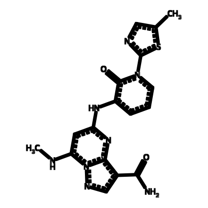 CNc1cc(Nc2cccn(-c3ncc(C)s3)c2=O)nc2c(C(N)=O)cnn12